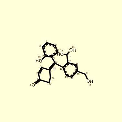 O=C1C=C/C(=C(\c2ccccc2O)c2ccc(CO)cc2C(O)O)CC1